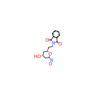 O=NC1C[C@H](O)C[C@@H](CCN2C(=O)c3ccccc3C2=O)O1